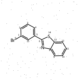 Brc1cccc(-c2nc3ccccc3s2)c1